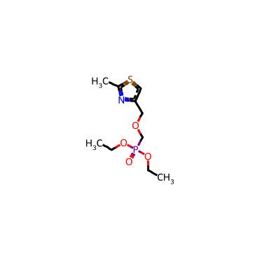 CCOP(=O)(COCc1csc(C)n1)OCC